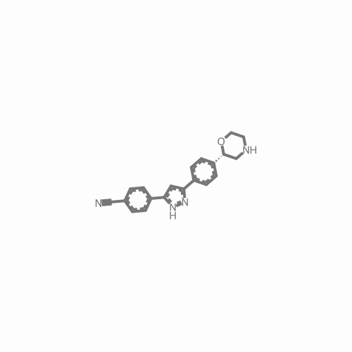 N#Cc1ccc(-c2cc(-c3ccc([C@H]4CNCCO4)cc3)n[nH]2)cc1